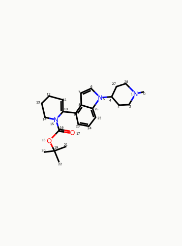 CN1CCC(n2ccc3c(C4=CCCCN4C(=O)OC(C)(C)C)cccc32)CC1